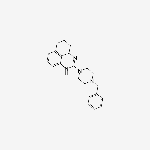 c1ccc(CN2CCN(C3=NC4CCCc5cccc(c54)N3)CC2)cc1